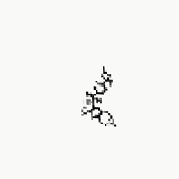 COc1nc2c(cc1NS(=O)(=O)c1ccc(C3(F)CC(C)C3)nc1)CCN(C)CC2